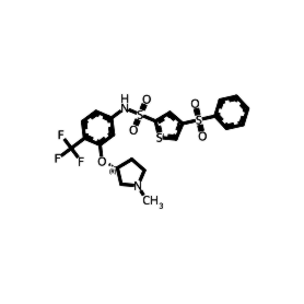 CN1CC[C@@H](Oc2cc(NS(=O)(=O)c3cc(S(=O)(=O)c4ccccc4)cs3)ccc2C(F)(F)F)C1